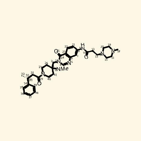 CNC1(Cn2cnc3cc(NC(=O)CCN4CCN(C)CC4)ccc3c2=O)CCN(C(=O)C[C@@H](C)c2ccccc2)CC1